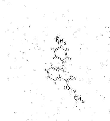 CCOC(=O)c1ccccc1Oc1ccc(N)cc1